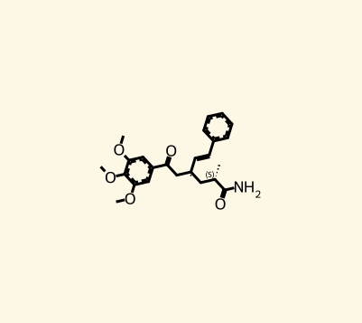 COc1cc(C(=O)C[C](C=Cc2ccccc2)C[C@H](C)C(N)=O)cc(OC)c1OC